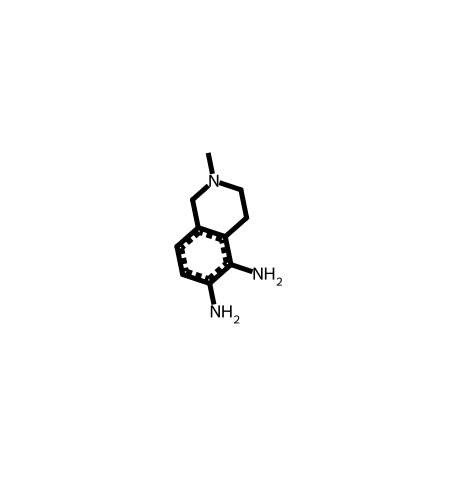 CN1CCc2c(ccc(N)c2N)C1